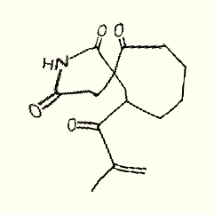 C=C(C)C(=O)C1CCCCC(=O)C12CC(=O)NC2=O